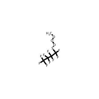 COOOSC(F)(F)C(F)(F)C(F)(F)C(F)(F)F